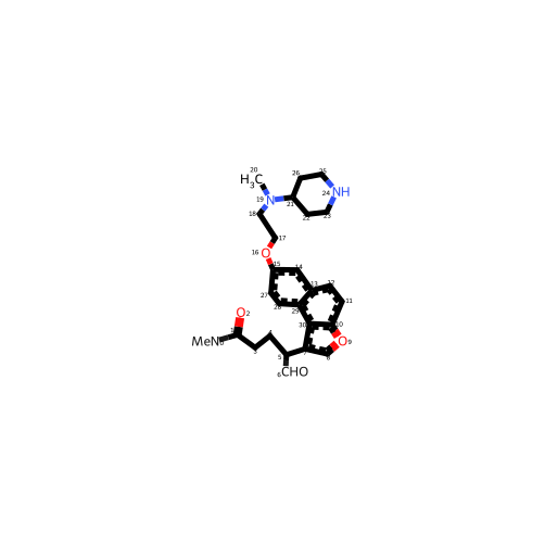 CNC(=O)CCC(C=O)c1coc2ccc3cc(OCCN(C)C4CCNCC4)ccc3c12